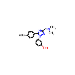 CCCCc1ccc(-c2nc(CN(C)C)nn2-c2cccc(O)c2)cc1